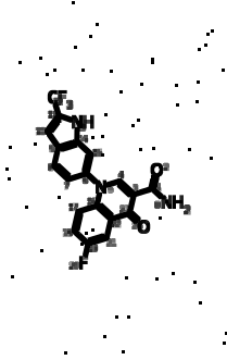 NC(=O)c1cn(-c2ccc3cc(C(F)(F)F)[nH]c3c2)c2ccc(F)cc2c1=O